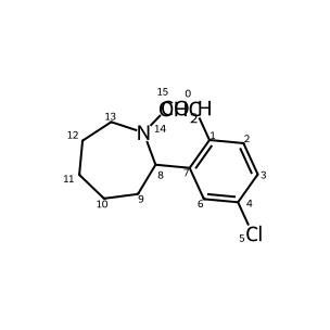 O=Cc1ccc(Cl)cc1C1CCCCCN1C(=O)O